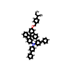 CC(C)CC(c1ccc(COc2ccc(C3(c4ccccc4)c4ccccc4-c4ccc(N(c5ccc(-c6ccccc6)cc5)c5ccc(-c6ccccc6)cc5)cc43)cc2)cc1)C(C)C